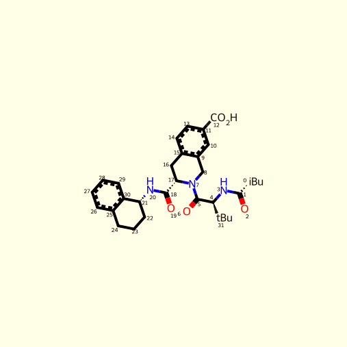 CC[C@@H](C)C(=O)N[C@H](C(=O)N1Cc2cc(C(=O)O)ccc2C[C@H]1C(=O)N[C@@H]1CCCc2ccccc21)C(C)(C)C